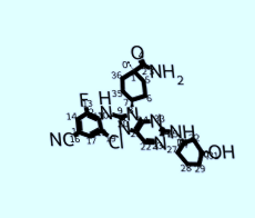 C[C@]1(C(N)=O)CC[C@@H](n2c(Nc3c(F)cc(C#N)cc3Cl)nc3cnc(N[C@@H]4CCC[C@@H](O)C4)nc32)CC1